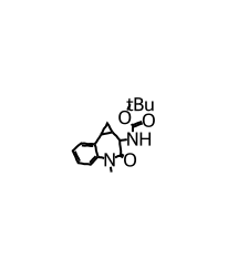 CN1C(=O)C(NC(=O)OC(C)(C)C)C2CC2c2ccccc21